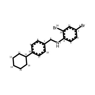 Brc1ccc(NCc2ccc(C3CCCCC3)cc2)c(Br)c1